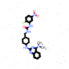 CN(C)c1nc(NC2CCC(CNC(=O)Nc3cc([N+](=O)[O-])ccc3F)CC2)nc2ccccc12